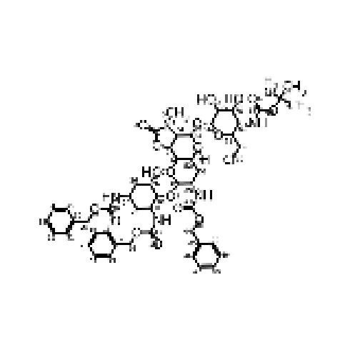 CN1C(=O)OC2C3O[C@H](O[C@@H]4C(NC(=O)OCc5ccccc5)C[C@@H](NC(=O)OCc5ccccc5)C[C@H]4O)[C@@H](NC(=O)OCc4ccccc4)C[C@@H]3OC(O[C@H]3OC(CCl)[C@@H](NC(=O)OC(C)(C)C)C(O)C3O)C21